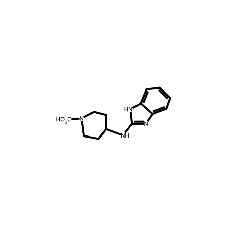 O=C(O)N1CCC(Nc2nc3ccccc3[nH]2)CC1